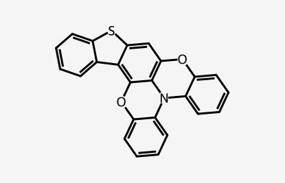 c1ccc2c(c1)Oc1cc3sc4ccccc4c3c3c1N2c1ccccc1O3